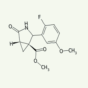 COC(=O)[C@@]12C[C@@H]1C(=O)NC2c1cc(OC)ccc1F